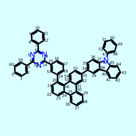 c1ccc(-c2nc(-c3ccccc3)nc(-c3cccc(-c4cccc5c6ccccc6c6cc(-c7ccc8c(c7)c7ccccc7n8-c7ccccc7)ccc6c45)c3)n2)cc1